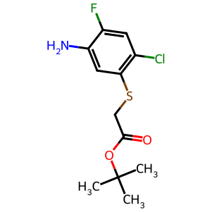 CC(C)(C)OC(=O)CSc1cc(N)c(F)cc1Cl